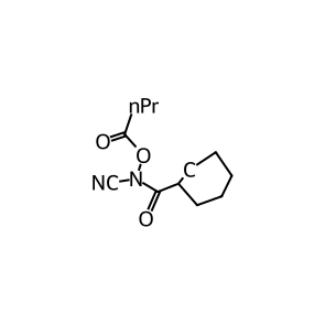 CCCC(=O)ON(C#N)C(=O)C1CCCCC1